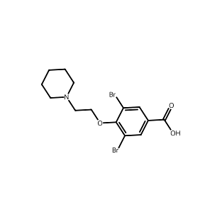 O=C(O)c1cc(Br)c(OCCN2CCCCC2)c(Br)c1